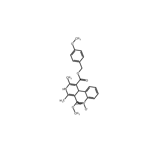 COC(=O)C1=C(C)NC(C)=C(C(=O)OCc2ccc(OC)cc2)C1c1ccccc1[N+](=O)[O-]